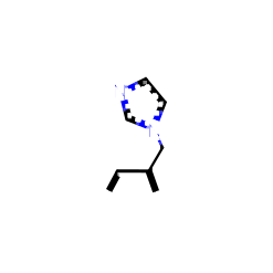 C=CC(=C)Cn1ccnc1